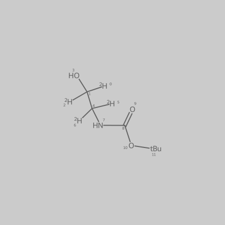 [2H]C([2H])(O)C([2H])([2H])NC(=O)OC(C)(C)C